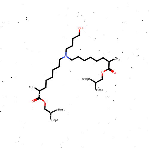 CCCCCCCC(CCCCCCC)COC(=O)C(C)CCCCCCN(CCCCO)CCCCCCC(C)C(=O)OCC(CCCCCCC)CCCCCCC